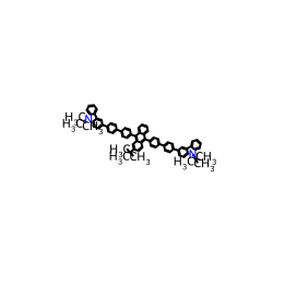 CC(C)(C)c1ccc2c(-c3ccc(-c4ccc(-c5ccc6c(c5)c5ccccc5n6C(C)(C)C)cc4)cc3)c3ccccc3c(-c3ccc(-c4ccc(-c5ccc6c(c5)c5ccccc5n6C(C)(C)C)cc4)cc3)c2c1